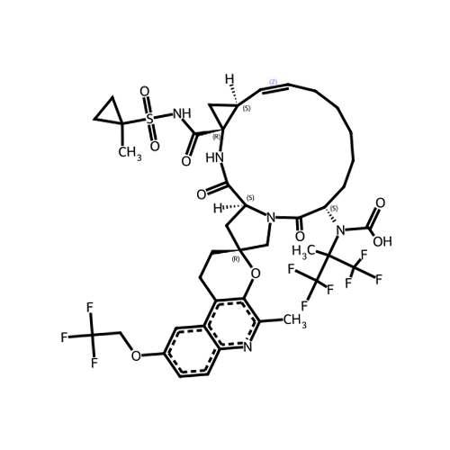 Cc1nc2ccc(OCC(F)(F)F)cc2c2c1O[C@]1(CC2)C[C@H]2C(=O)N[C@]3(C(=O)NS(=O)(=O)C4(C)CC4)C[C@H]3/C=C\CCCCC[C@H](N(C(=O)O)C(C)(C(F)(F)F)C(F)(F)F)C(=O)N2C1